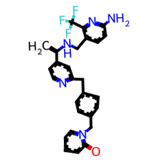 C=C(NCc1ccc(N)nc1C(F)(F)F)c1ccnc(Cc2ccc(Cn3ccccc3=O)cc2)c1